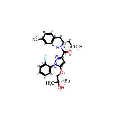 CC(C)(C)[C@@](C)(O)COc1cc(C(=O)N[C@H](CC(=O)O)Cc2ccc(C#N)cc2)nn1-c1ccccc1F